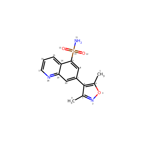 Cc1noc(C)c1-c1cc(S(N)(=O)=O)c2cccnc2c1